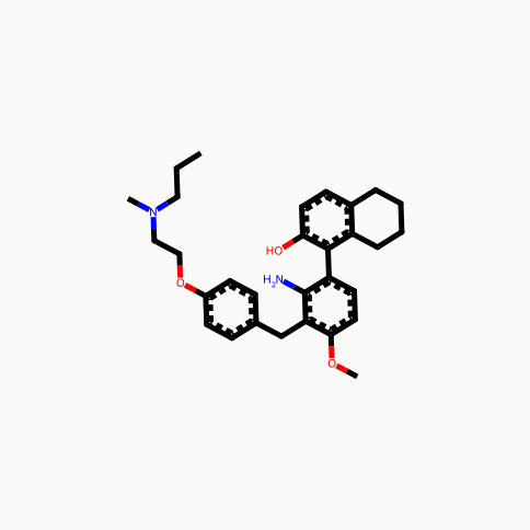 CCCN(C)CCOc1ccc(Cc2c(OC)ccc(-c3c(O)ccc4c3CCCC4)c2N)cc1